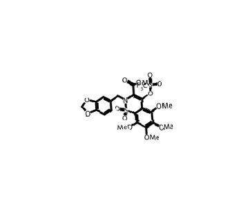 COC(=O)C1=C(OS(=O)(=O)C(F)(F)F)c2c(OC)c(OC)c(OC)c(OC)c2S(=O)(=O)N1Cc1ccc2c(c1)OCO2